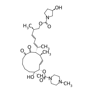 C/C(=C\C=C\[C@@H](C)COC(=O)N1CC[C@@H](O)C1)[C@H]1C(=O)C(=O)CCCC[C@](C)(O)[C@@H](OC(=O)N2CCN(C)CC2)/C=C/[C@@H]1C